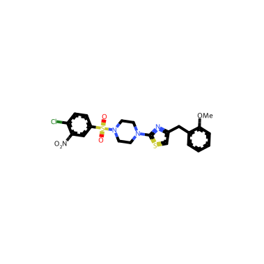 COc1ccccc1Cc1csc(N2CCN(S(=O)(=O)c3ccc(Cl)c([N+](=O)[O-])c3)CC2)n1